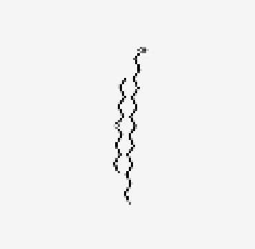 CCCCCCCCCCCCCCCCO.CCCCCOCCCCC